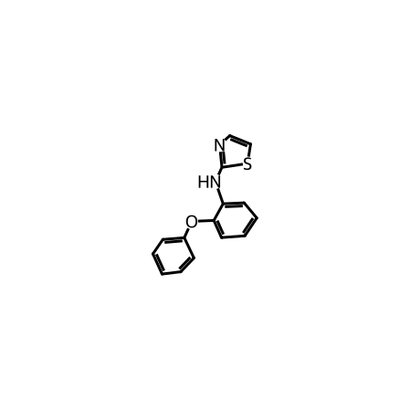 c1ccc(Oc2ccccc2Nc2nccs2)cc1